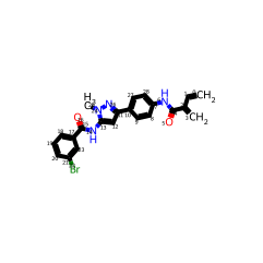 C=CC(=C)C(=O)Nc1ccc(-c2cc(NC(=O)c3cccc(Br)c3)n(C)n2)cc1